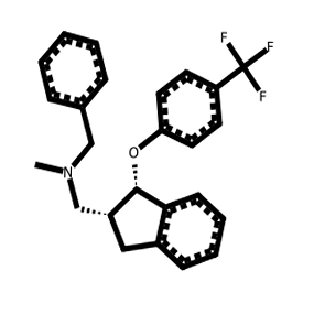 CN(Cc1ccccc1)C[C@H]1Cc2ccccc2[C@H]1Oc1ccc(C(F)(F)F)cc1